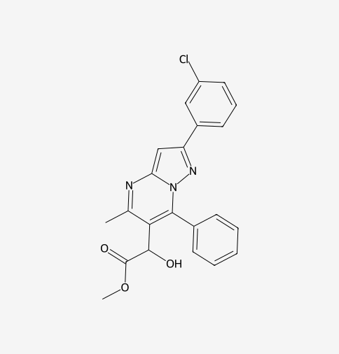 COC(=O)C(O)c1c(C)nc2cc(-c3cccc(Cl)c3)nn2c1-c1ccccc1